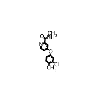 CNC(=O)c1cc(Oc2ccc(C)c(Cl)c2)ccn1